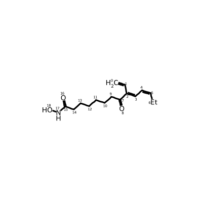 C=C/C(=C\C=C/CC)C(=O)CCCCCCC(=O)NO